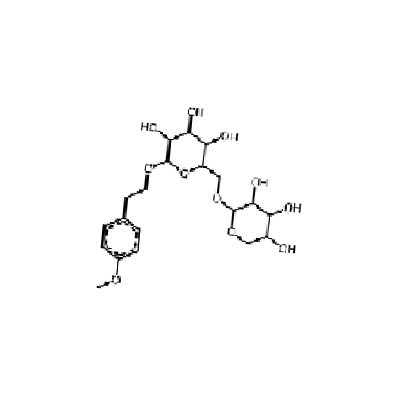 COc1ccc(CCOC2OC(COC3OCC(O)C(O)C3O)C(O)C(O)C2O)cc1